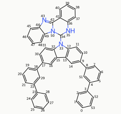 c1ccc(-c2cccc(-c3ccc4c(c3)c3cc(-c5cccc(-c6ccccc6)c5)ccc3n4C3Nc4ccccc4-c4nc5ccccc5n43)c2)cc1